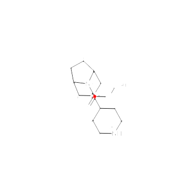 CC(C)(C)OC(=O)N1C2CCC1CN(C1CCNCC1)C2